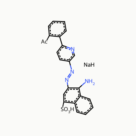 CC(=O)c1ccccc1-c1ccc(N=Nc2cc(S(=O)(=O)O)c3ccccc3c2N)cn1.[NaH]